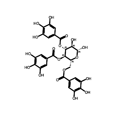 O=C(OC[C@H]1O[C@@H](O)[C@H](O)[C@@H](OC(=O)c2cc(O)c(O)c(O)c2)[C@@H]1OC(=O)c1cc(O)c(O)c(O)c1)c1cc(O)c(O)c(O)c1